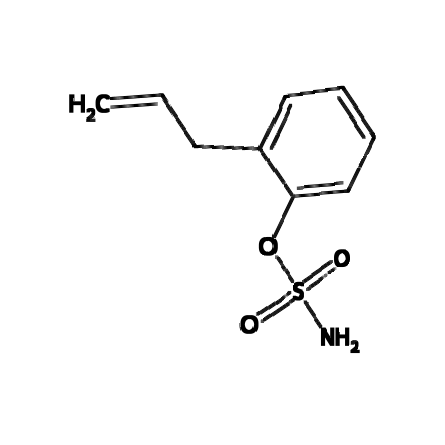 C=CCc1ccccc1OS(N)(=O)=O